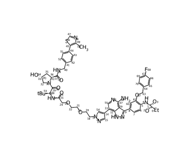 CCS(=O)(=O)Nc1ccc(-c2n[nH]c3c(-c4cnn(CCOCCOCC(=O)N[C@H](C(=O)N5C[C@H](O)C[C@H]5C(=O)NCc5ccc(-c6scnc6C)cc5)C(C)(C)C)c4)cnc(N)c23)cc1OCc1ccc(F)cc1